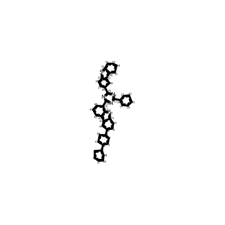 c1ccc(-c2ccc(-c3ccc4sc5c(-c6nc(-c7ccccc7)nc(-c7ccc8sc9ccccc9c8c7)n6)cccc5c4c3)cc2)cc1